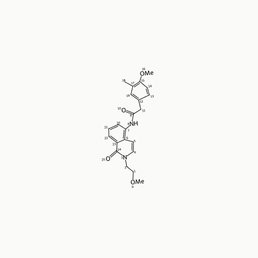 COCCn1ccc2c(NC(=O)Cc3ccc(OC)c(C)c3)cccc2c1=O